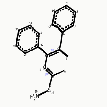 C/C(=N\C(=C(/C)c1ccccc1)c1ccccc1)SN